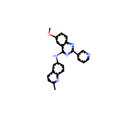 COc1ccc2nc(-c3cccnc3)nc(Nc3ccc4nc(C)ccc4c3)c2c1